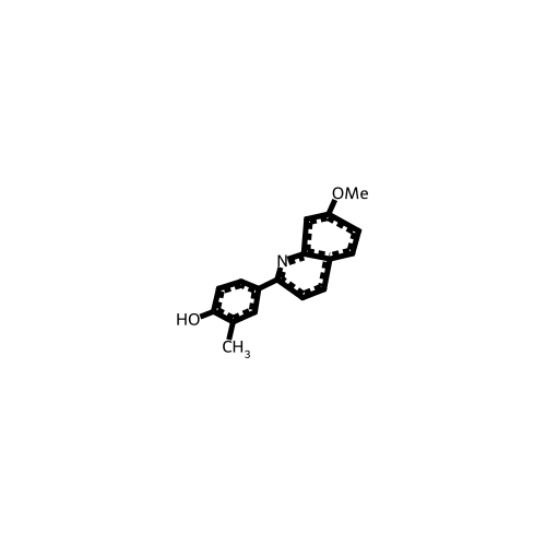 COc1ccc2ccc(-c3ccc(O)c(C)c3)nc2c1